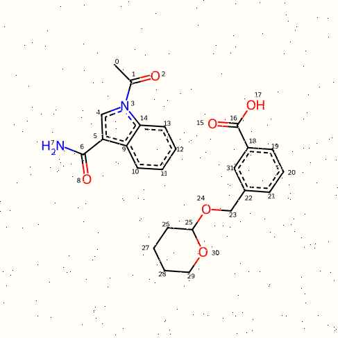 CC(=O)n1cc(C(N)=O)c2ccccc21.O=C(O)c1cccc(COC2CCCCO2)c1